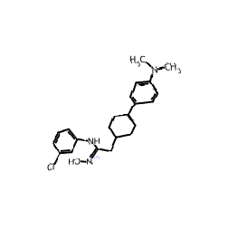 CN(C)c1ccc(C2CCC(C/C(=N/O)Nc3cccc(Cl)c3)CC2)cc1